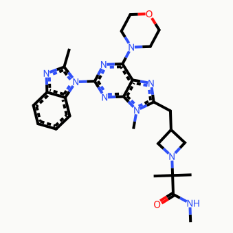 CNC(=O)C(C)(C)N1CC(Cc2nc3c(N4CCOCC4)nc(-n4c(C)nc5ccccc54)nc3n2C)C1